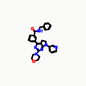 O=C(NCc1ccccc1)c1cccc(-c2nc(N3CCOCC3)nc3c2CCN3c2cccnc2)c1